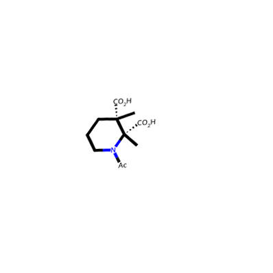 CC(=O)N1CCC[C@](C)(C(=O)O)[C@]1(C)C(=O)O